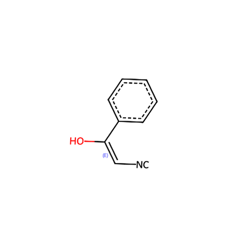 [C-]#[N+]/C=C(/O)c1ccccc1